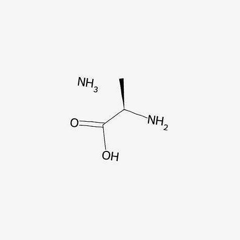 C[C@@H](N)C(=O)O.N